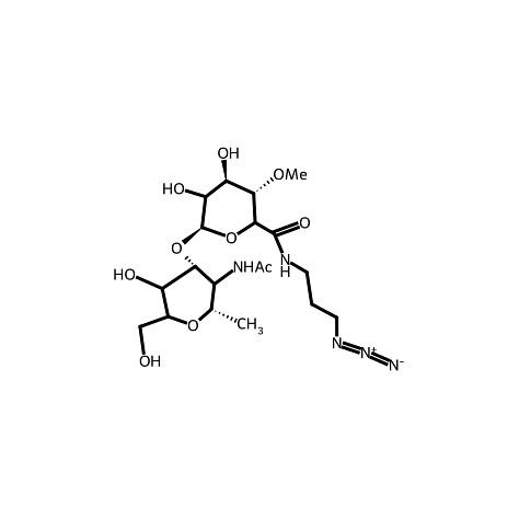 CO[C@@H]1C(C(=O)NCCCN=[N+]=[N-])O[C@@H](O[C@H]2C(O)C(CO)O[C@@H](C)C2NC(C)=O)C(O)[C@H]1O